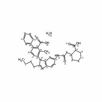 CCCCc1nc2ccc(NC(=O)CC3CCCCC3C(=O)O)cc2n1-c1ccc(-c2ccccc2)c(C(=O)O)c1C.O